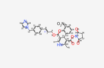 CC1=C(C(=O)OC/C=C/c2ccc(Cn3ccnc3)cc2)C(c2cccc([N+](=O)[O-])c2)C(C(=O)ON2C(=O)CCC2=O)=C(C)N1